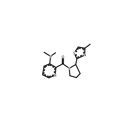 Cc1csc(C2CCCN2C(=O)c2ncccc2N(C)C)n1